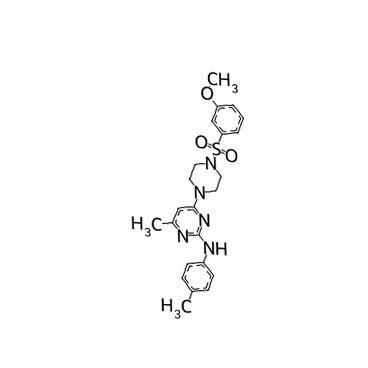 COc1cccc(S(=O)(=O)N2CCN(c3cc(C)nc(Nc4ccc(C)cc4)n3)CC2)c1